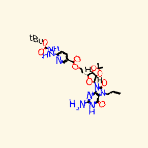 C=CCn1c(=O)n(C2O[C@H](CCOC(=O)c3ccc(NNC(=O)OC(C)(C)C)nc3)[C@H]3OC(C)(C)O[C@@H]23)c2nc(N)[nH]c(=O)c21